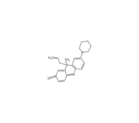 C=CC[Si]1(C)C2=CC(=O)C=CC2=Nc2ccc(N3CCCCC3)cc21